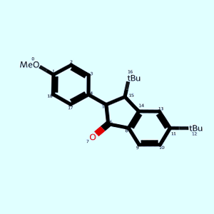 COc1ccc(C2C(=O)c3ccc(C(C)(C)C)cc3C2C(C)(C)C)cc1